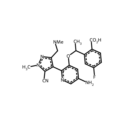 CNCc1nn(C)c(C#N)c1-c1ncc(N)cc1OC(C)c1cc(F)ccc1C(=O)O